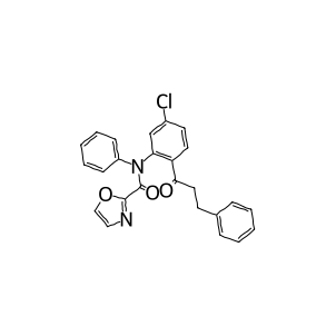 O=C(CCc1ccccc1)c1ccc(Cl)cc1N(C(=O)c1ncco1)c1ccccc1